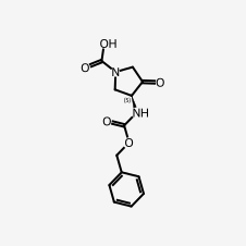 O=C(N[C@H]1CN(C(=O)O)CC1=O)OCc1ccccc1